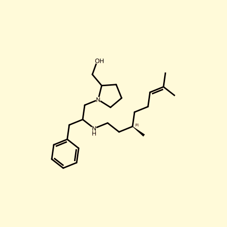 CC(C)=CCC[C@@H](C)CCNC(Cc1ccccc1)CN1CCCC1CO